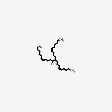 CCCC/C=C\CCCC(CCC/C=C\CCCCC)C(O)CCC/C=C\CCCCC